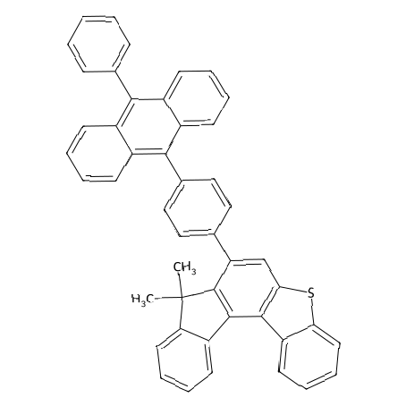 CC1(C)c2ccccc2-c2c1c(-c1ccc(-c3c4ccccc4c(-c4ccccc4)c4ccccc34)cc1)cc1sc3ccccc3c21